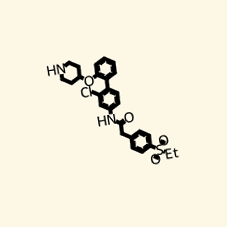 CCS(=O)(=O)c1ccc(CC(=O)Nc2ccc(-c3ccccc3OC3CCNCC3)c(Cl)c2)cc1